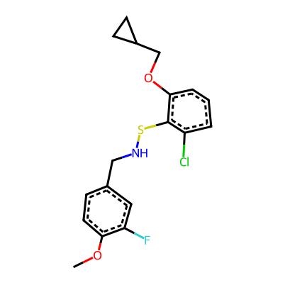 COc1ccc(CNSc2c(Cl)cccc2OCC2CC2)cc1F